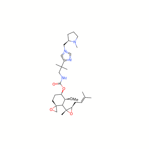 CO[C@H]1C([C@@]2(C)O[C@@H]2CC=C(C)C)[C@]2(CC[C@H]1OC(=O)NCC(C)(C)c1cn(C[C@H]3CCCN3C)cn1)CO2